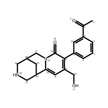 CC(=O)c1cccc(-c2c(CO)cc3n(c2=O)CC2CNCC3C2)c1